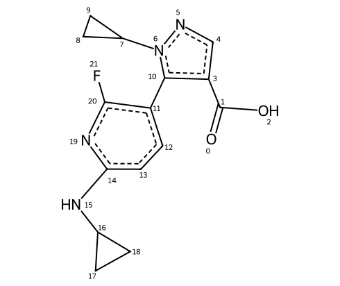 O=C(O)c1cnn(C2CC2)c1-c1ccc(NC2CC2)nc1F